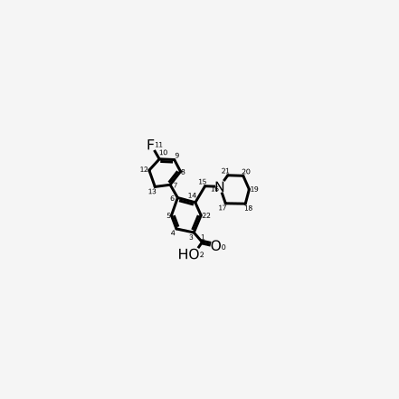 O=C(O)c1ccc(C2=CC=C(F)CC2)c(CN2CCCCC2)c1